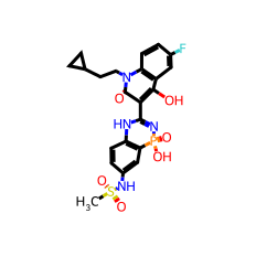 CS(=O)(=O)Nc1ccc2c(c1)P(=O)(O)N=C(c1c(O)c3cc(F)ccc3n(CCC3CC3)c1=O)N2